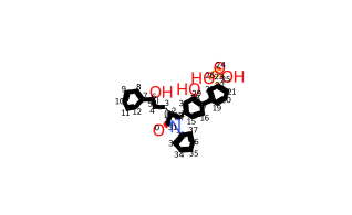 O=C1[C@H](CC[C@H](O)c2ccccc2)[C@@H](c2ccc(-c3cccc(P(=O)(O)O)c3)c(O)c2)N1c1ccccc1